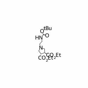 CCOC(=O)[C@@H]1CN(CCNC(=O)OC(C)(C)C)C[C@H]1C(=O)OCC